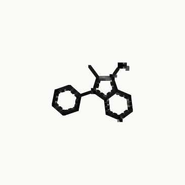 Cc1n(-c2ccccc2)c2cnccc2[n+]1N